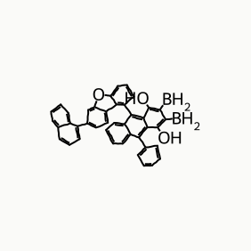 Bc1c(B)c(O)c2c(-c3cccc4oc5cc(-c6cccc7ccccc67)ccc5c34)c3ccccc3c(-c3ccccc3)c2c1O